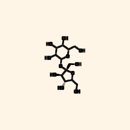 OCC1OC(O[C@]2(CO)OC(CO)[C@H](O)[C@H]2O)C(O)C(O)C1O